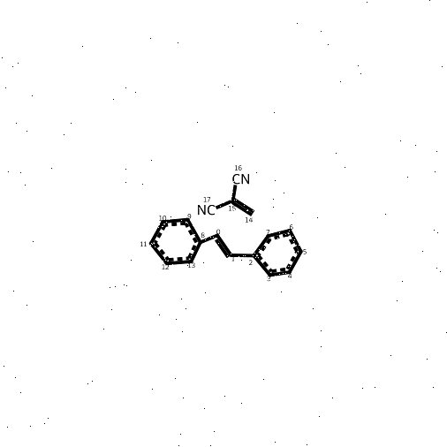 C(=Cc1ccccc1)c1ccccc1.C=C(C#N)C#N